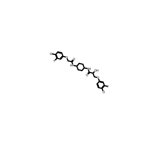 O=C(COc1ccc(Cl)c(F)c1)NC1CCC(NC(=O)C(O)COc2ccc(Cl)c(F)c2)CC1